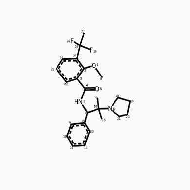 COc1c(C(=O)NC(c2ccccc2)C(C)(C)N2CCCC2)cccc1C(C)(F)F